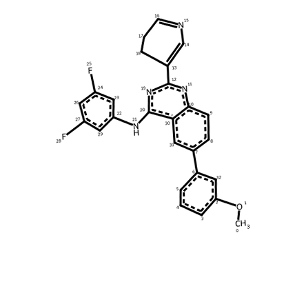 COc1cccc(-c2ccc3nc(C4=CN=CCC4)nc(Nc4cc(F)cc(F)c4)c3c2)c1